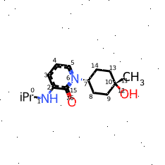 CC(C)Nc1cccn([C@H]2CC[C@@](C)(O)CC2)c1=O